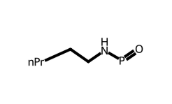 CCCCCNP=O